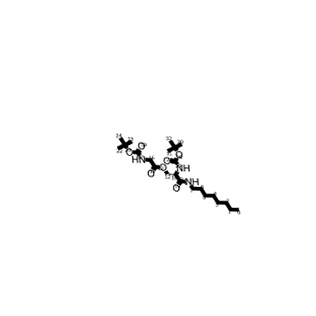 CCCCCCCCNC(=O)[C@H](COC(=O)CNC(=O)OC(C)(C)C)NC(=O)OC(C)(C)C